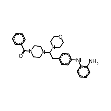 Nc1ccccc1Nc1ccc(CC(N2CCOCC2)N2CCN(C(=O)c3ccccc3)CC2)cc1